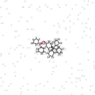 c1ccc(P(Oc2ccc([Si](c3ccccc3)(c3ccccc3)c3ccccc3)cc2)c2ccccc2)cc1